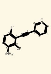 Nc1ccc(F)c(C#Cc2cccnc2)c1F